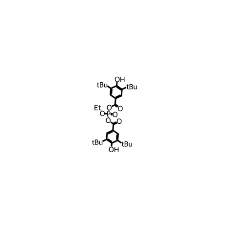 CCOP(=O)(OC(=O)c1cc(C(C)(C)C)c(O)c(C(C)(C)C)c1)OC(=O)c1cc(C(C)(C)C)c(O)c(C(C)(C)C)c1